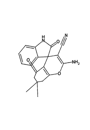 CC1(C)CC(=O)C2=C(C1)OC(N)=C(C#N)C21C(=O)Nc2ccccc21